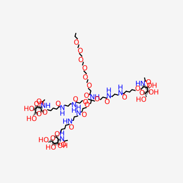 CCCOCCOCCOCCOCCOCCOCCC(=O)NC(COCCC(=O)NCCCNC(=O)CCCCOC1O[C@H](CO)[C@H](O)[C@H](O)[C@H]1NC(C)=O)(COCCC(=O)NCCCNC(=O)CCCCO[C@@H]1O[C@H](CO)[C@H](O)[C@H](O)[C@H]1NC(C)=O)COCCC(=O)NCCCNC(=O)CCCCO[C@@H]1O[C@H](CO)[C@H](O)[C@H](O)[C@H]1NC(C)=O